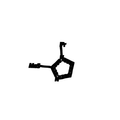 CSc1nccn1C(C)C